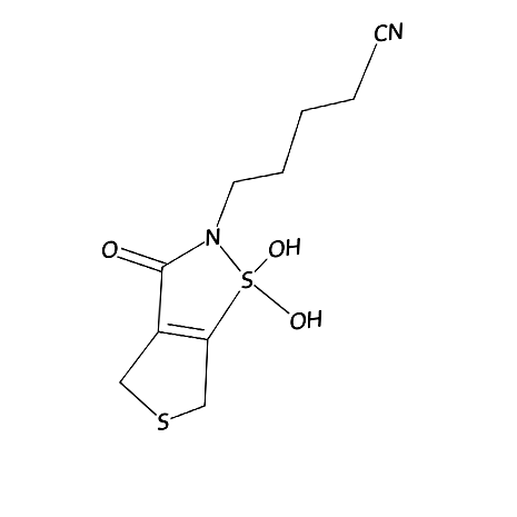 N#CCCCCN1C(=O)C2=C(CSC2)S1(O)O